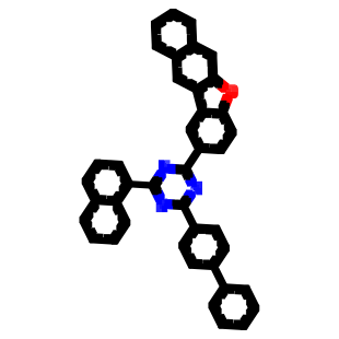 c1ccc(-c2ccc(-c3nc(-c4ccc5oc6cc7ccccc7cc6c5c4)nc(-c4cccc5ccccc45)n3)cc2)cc1